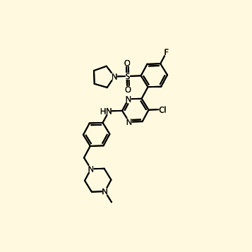 CN1CCN(Cc2ccc(Nc3ncc(Cl)c(-c4ccc(F)cc4S(=O)(=O)N4CCCC4)n3)cc2)CC1